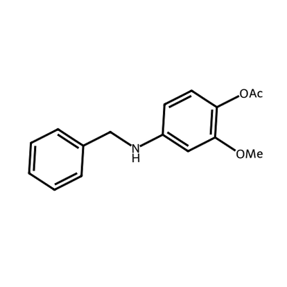 COc1cc(NCc2ccccc2)ccc1OC(C)=O